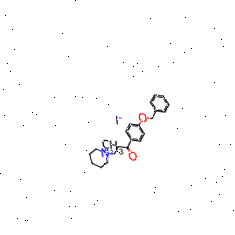 C[N+]1(CCC(=O)c2ccc(OCc3ccccc3)cc2)CCCCC1.[I-]